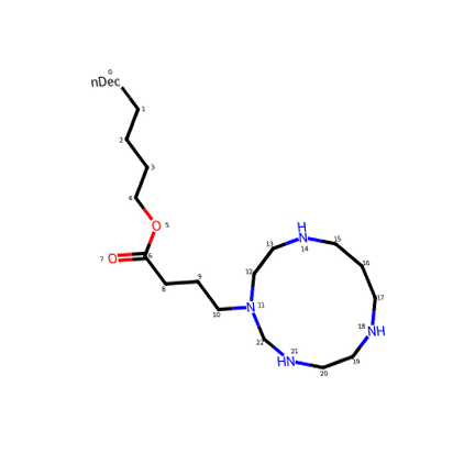 CCCCCCCCCCCCCCOC(=O)CCCN1CCNCCCNCCNC1